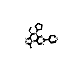 CC[C@@H]1c2nnc(C)n2-c2cnc(-c3ccncc3)nc2N1C1CCCC1